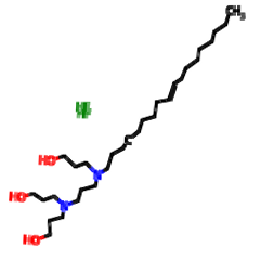 CCCCCCCCC=CCCCCCCCCN(CCCO)CCCN(CCCO)CCCO.F.F